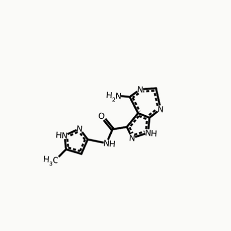 Cc1cc(NC(=O)c2n[nH]c3ncnc(N)c23)n[nH]1